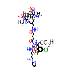 CC(=NO)C(C)(C)NCCC(CCNC(=O)CCCC(=O)NC[C@H](NC(=O)CCCCNc1ccccn1)C(=O)NC(CC(=O)O)c1cc(Cl)cc(Cl)c1)CCNC(C)(C)C(C)=NO